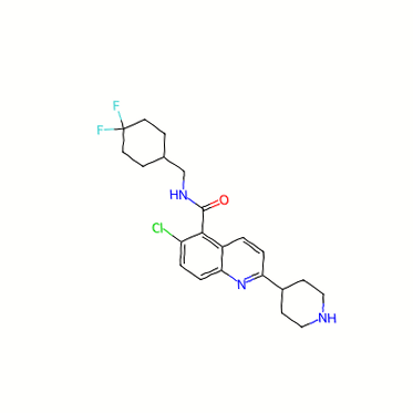 O=C(NCC1CCC(F)(F)CC1)c1c(Cl)ccc2nc(C3CCNCC3)ccc12